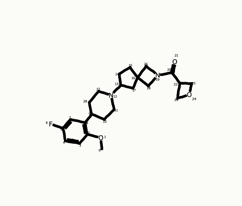 COc1ccc(F)cc1C1CCN(C2CCC3(C2)CN(C(=O)C2COC2)C3)CC1